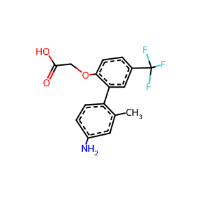 Cc1cc(N)ccc1-c1cc(C(F)(F)F)ccc1OCC(=O)O